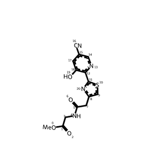 COC(=O)CNC(=O)Cc1csc(-c2ncc(C#N)cc2O)n1